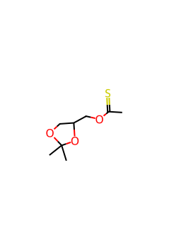 CC(=S)OCC1COC(C)(C)O1